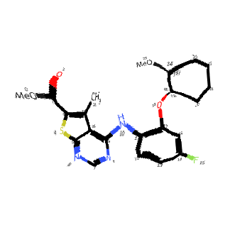 COC(=O)c1sc2ncnc(Nc3ccc(F)cc3O[C@@H]3CCCC[C@@H]3OC)c2c1C